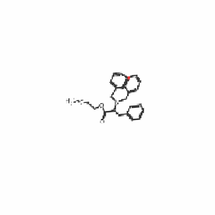 CCCCOC(=O)C(Cc1ccccc1)N(Cc1ccccc1)Cc1ccccc1